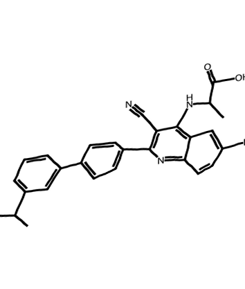 CC(Nc1c(C#N)c(-c2ccc(-c3cccc(C(C)C)c3)cc2)nc2ccc(F)cc12)C(=O)O